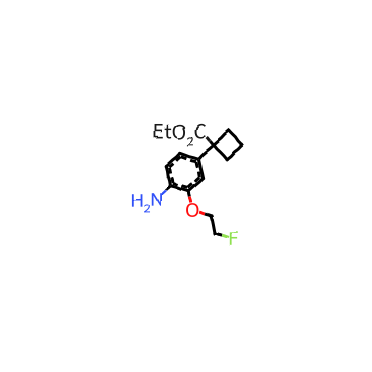 CCOC(=O)C1(c2ccc(N)c(OCCF)c2)CCC1